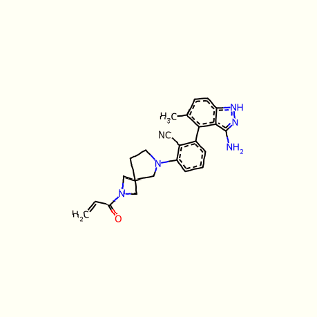 C=CC(=O)N1CC2(CCN(c3cccc(-c4c(C)ccc5[nH]nc(N)c45)c3C#N)C2)C1